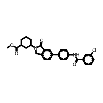 COC(=O)C1CCCC(N2Cc3ccc(-c4ccc(NC(=O)c5cccc(Cl)c5)cc4)cc3C2=O)C1